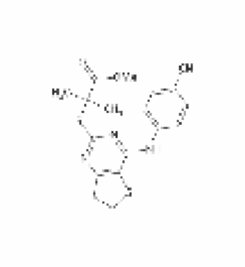 COC(=O)C(C)(C)Sc1nc2c(c(Nc3ccc(C#N)cc3)n1)SCC2